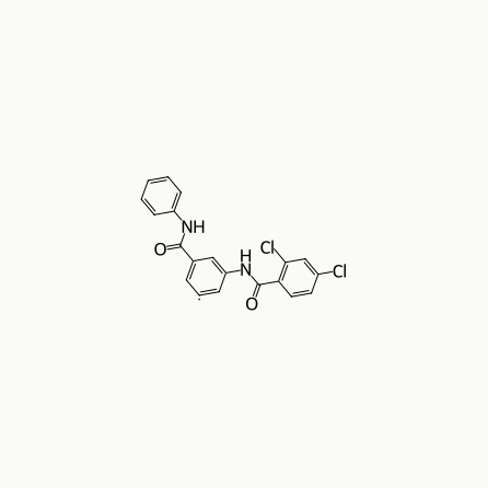 O=C(Nc1ccccc1)c1c[c]cc(NC(=O)c2ccc(Cl)cc2Cl)c1